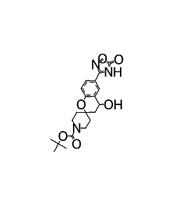 CC(C)(C)OC(=O)N1CCC2(CC1)CC(O)c1cc(-c3noc(=O)[nH]3)ccc1O2